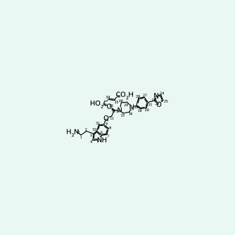 NCCc1c[nH]c2ccc(OCC(=O)N3CCN(c4ccc(-c5ncco5)cc4)CC3)cc12.O=C(O)/C=C/C(=O)O